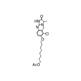 CC(=O)OCCCCCCCCOc1ccc2c(c1Cl)CN1C(=N2)NC(=O)C1C